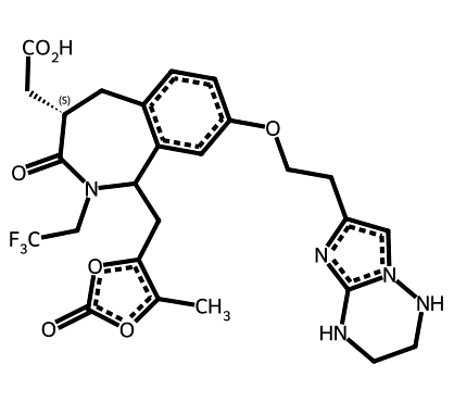 Cc1oc(=O)oc1CC1c2cc(OCCc3cn4c(n3)NCCN4)ccc2C[C@@H](CC(=O)O)C(=O)N1CC(F)(F)F